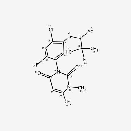 CC(=O)C(Sc1cc(-n2c(=O)cc(C(F)(F)F)n(C)c2=O)c(F)cc1Cl)C(C)(C)F